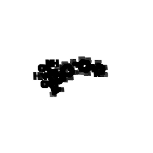 N#CCC1(N/C=C(\C(=N)NC(=O)C2CC2)C(N)=O)CCN(Cc2ccc(-n3cccn3)cc2)CC1